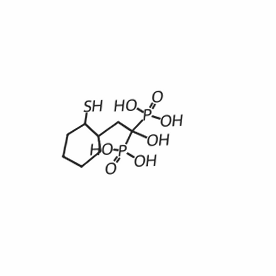 O=P(O)(O)C(O)(CC1CCCCC1S)P(=O)(O)O